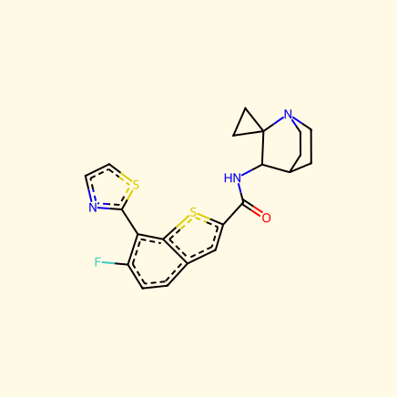 O=C(NC1C2CCN(CC2)C12CC2)c1cc2ccc(F)c(-c3nccs3)c2s1